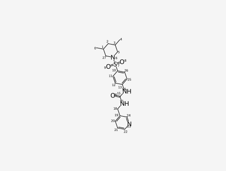 CC1CC(C)CN(S(=O)(=O)c2ccc(NC(=O)NCc3cccnc3)cc2)C1